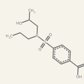 CCCN(CC(C)O)S(=O)(=O)c1ccc(C(=O)O)cc1